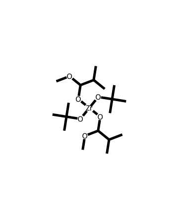 COC([O][Zr]([O]C(OC)C(C)C)([O]C(C)(C)C)[O]C(C)(C)C)C(C)C